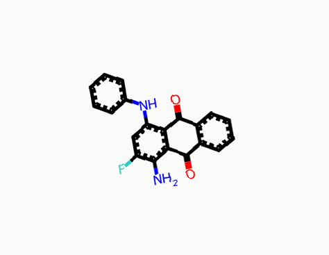 Nc1c(F)cc(Nc2ccccc2)c2c1C(=O)c1ccccc1C2=O